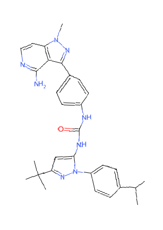 CC(C)c1ccc(-n2nc(C(C)(C)C)cc2NC(=O)Nc2ccc(-c3nn(C)c4ccnc(N)c34)cc2)cc1